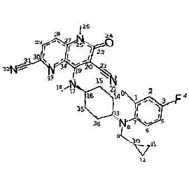 Cc1cc(F)ccc1N(CC1CC1)[C@H]1CC[C@H](N(C)c2c(C#N)c(=O)n(C)c3ccc(C#N)nc23)CC1